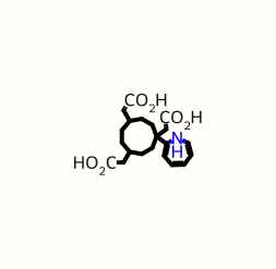 O=C(O)CC1CCC(CC(=O)O)CCC(CC(=O)O)(C2=CC=CC=CN2)CC1